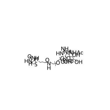 CC(=O)N[C@H]1[C@H]([C@H](O)[C@H](O)CO)OC(P(=O)(O)OC(C)(C)COC(C)(C)CCNC(=O)CCCC[C@@H]2SC[C@@H]3NC(=O)N[C@@H]32)=C[C@@H]1NC(=N)N